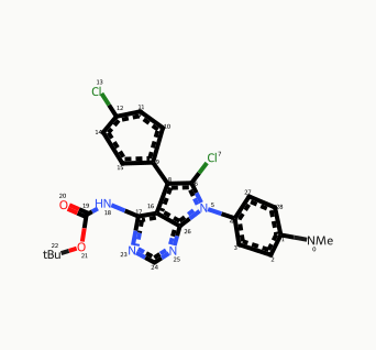 CNc1ccc(-n2c(Cl)c(-c3ccc(Cl)cc3)c3c(NC(=O)OC(C)(C)C)ncnc32)cc1